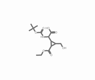 CCOC(=O)C1C(CO)C1C(NC(=O)OC(C)(C)C)C(=O)O